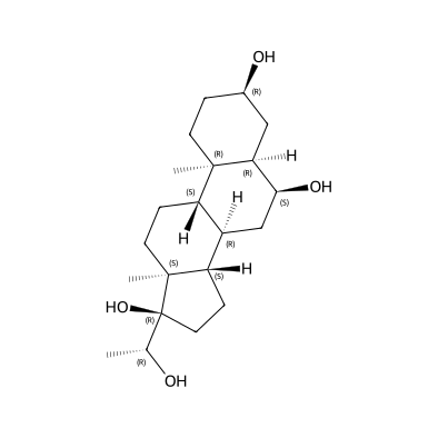 C[C@@H](O)[C@@]1(O)CC[C@H]2[C@@H]3C[C@H](O)[C@@H]4C[C@H](O)CC[C@]4(C)[C@H]3CC[C@@]21C